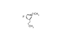 CCCc1ccc[n+](CC)c1.[F-]